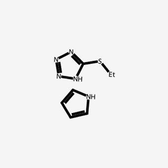 CCSc1nnn[nH]1.c1cc[nH]c1